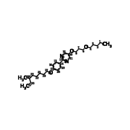 CCCCCOCCCOc1cnc(-c2ccc(OCCCCCC(C)CC)cc2)nc1